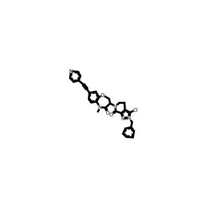 CN1C(=O)C(N2CCc3c(nn(Cc4ccccc4)c3Cl)C2=O)COc2cc(C#Cc3ccncc3)ccc21